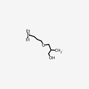 [CH2]C(CO)COCCCN(CC)CC